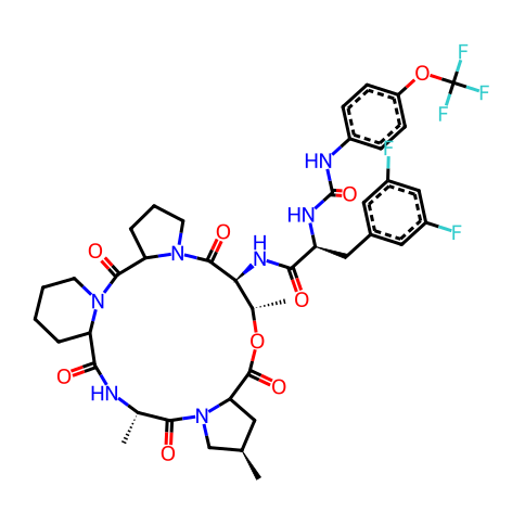 C[C@@H]1CC2C(=O)O[C@@H](C)[C@H](NC(=O)[C@H](Cc3cc(F)cc(F)c3)NC(=O)Nc3ccc(OC(F)(F)F)cc3)C(=O)N3CCCC3C(=O)N3CCCCC3C(=O)N[C@@H](C)C(=O)N2C1